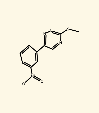 CSc1ncc(-c2cccc([N+](=O)[O-])c2)nn1